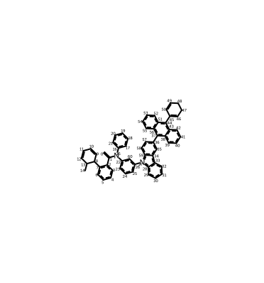 C=C(c1ccccc1C1C=CC=CC1C)N(c1ccccc1)c1cccc(-n2c3ccccc3c3cc(-c4c5ccccc5c(C5=CCCC=C5)c5ccccc45)ccc32)c1